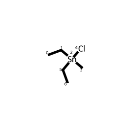 C[CH2][Sn]([CH3])([Cl])[CH2]C